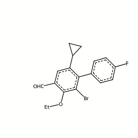 CCOc1c(C=O)cc(C2CC2)c(-c2ccc(F)cc2)c1Br